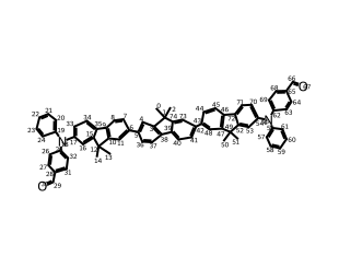 CC1(C)c2cc(-c3ccc4c(c3)C(C)(C)c3cc(N(c5ccccc5)c5ccc(C=O)cc5)ccc3-4)ccc2-c2ccc(-c3ccc4c(c3)C(C)(C)c3cc(N(c5ccccc5)c5ccc(C=O)cc5)ccc3-4)cc21